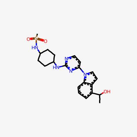 CC(O)c1cccc2c1ccn2-c1ccnc(NC2CCC(NS(C)(=O)=O)CC2)n1